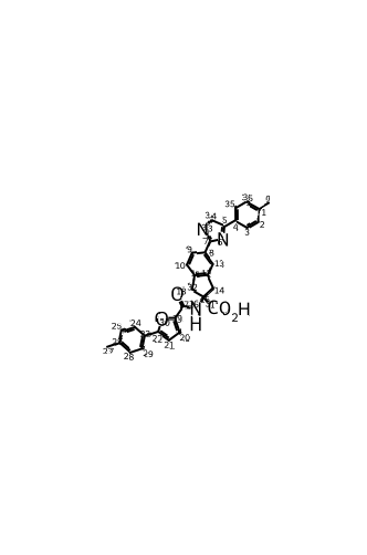 Cc1ccc(C2=NC(c3ccc4c(c3)CC(NC(=O)c3ccc(-c5ccc(C)cc5)o3)(C(=O)O)C4)=NC2)cc1